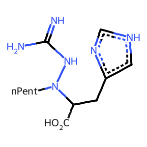 CCCCCN(NC(=N)N)C(Cc1c[nH]cn1)C(=O)O